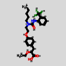 CCCCCN(CCOc1ccc(CC(OCC)C(=O)O)cc1)C(=O)Nc1ccccc1C(F)(F)F